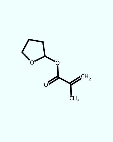 C=C(C)C(=O)OC1CCCO1